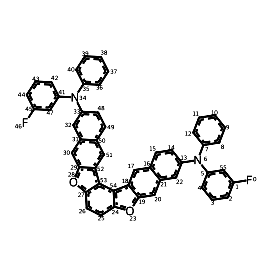 Fc1cccc(N(c2ccccc2)c2ccc3cc4c(cc3c2)oc2ccc3oc5cc6cc(N(c7ccccc7)c7cccc(F)c7)ccc6cc5c3c24)c1